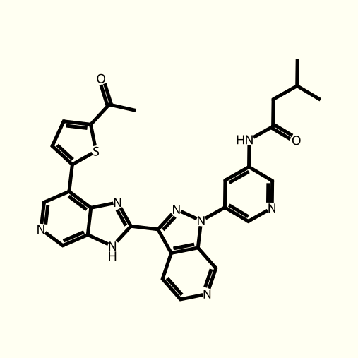 CC(=O)c1ccc(-c2cncc3[nH]c(-c4nn(-c5cncc(NC(=O)CC(C)C)c5)c5cnccc45)nc23)s1